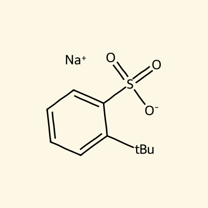 CC(C)(C)c1ccccc1S(=O)(=O)[O-].[Na+]